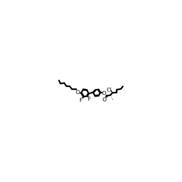 CCCCCCCOc1ccc(-c2ccc(OC(=O)[C@@H](C)[C@@H](Cl)CCCC)cc2)c(F)c1F